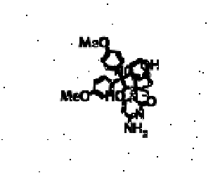 COc1ccc(C(c2ccccc2)(c2ccc(OC)cc2)C(O)[C@@]2(n3ccc(N)nc3=O)SC[C@H](O)[C@@H]2O)cc1